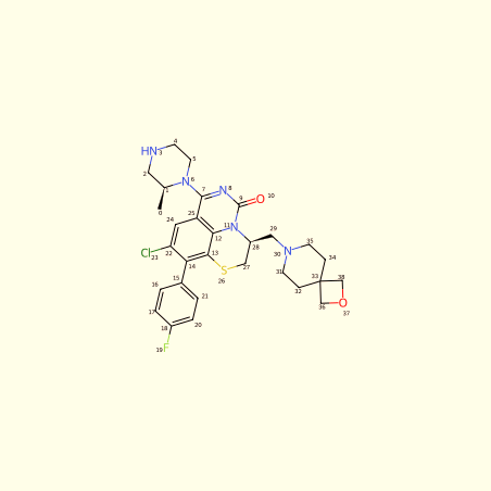 C[C@H]1CNCCN1c1nc(=O)n2c3c(c(-c4ccc(F)cc4)c(Cl)cc13)SC[C@@H]2CN1CCC2(CC1)COC2